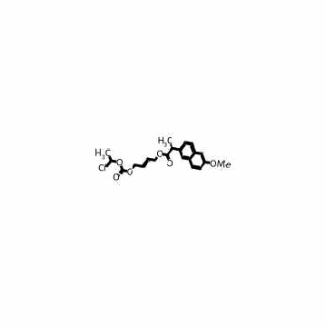 COc1ccc2cc([C@H](C)C(=O)OCC=CCOC(=O)OC(C)Cl)ccc2c1